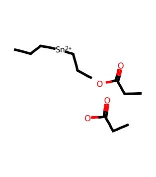 CCC(=O)[O-].CCC(=O)[O-].CC[CH2][Sn+2][CH2]CC